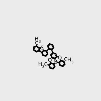 Cc1cccc2c1Oc1cc(-c3ccccc3-c3cccc4c3sc3c(C)cccc34)cc3c1B2c1cccc(C)c1O3